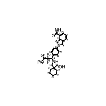 NC(=O)c1cccc2cn(-c3ccc(C(NCC4(CO)CCCCC4)C(F)(F)C(=O)OF)cc3)nc12